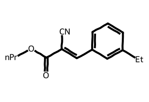 CCCOC(=O)/C(C#N)=C/c1cccc(CC)c1